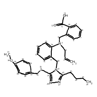 C=CCN(Cc1ccccc1C(=O)O)c1ccccc1Cn1c(CCCC)nnc1SCc1ccc(OC)cc1